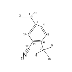 C[C](C)c1ccc(C(C)(C)C)c(C#N)c1